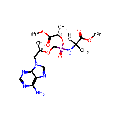 CCCOC(=O)C(C)(C)NP(=O)(CO[C@H](C)Cn1cnc2c(N)ncnc21)O[C@@H](C)C(=O)OC(C)C